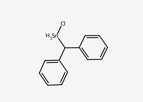 [Cl][SnH2][CH](c1ccccc1)c1ccccc1